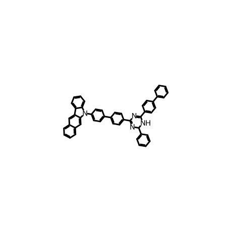 c1ccc(-c2ccc(C3=NC(c4ccc(-c5ccc(-n6c7ccccc7c7cc8ccccc8cc76)cc5)cc4)=NC(c4ccccc4)N3)cc2)cc1